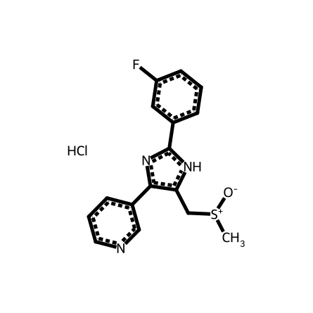 C[S+]([O-])Cc1[nH]c(-c2cccc(F)c2)nc1-c1cccnc1.Cl